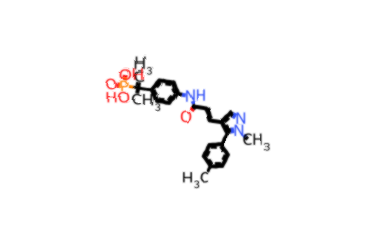 Cc1ccc(-c2c(C=CC(=O)Nc3ccc(C(C)(C)P(=O)(O)O)cc3)cnn2C)cc1